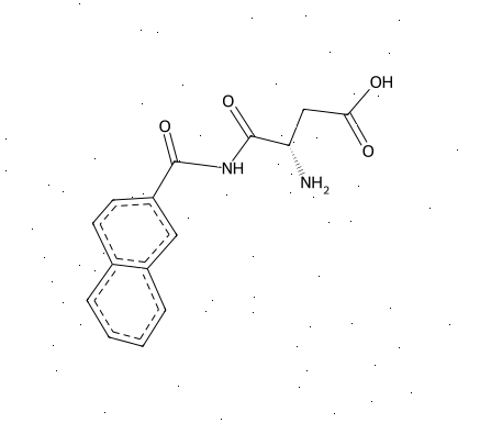 N[C@@H](CC(=O)O)C(=O)NC(=O)c1ccc2ccccc2c1